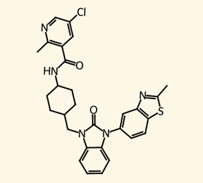 Cc1nc2cc(-n3c(=O)n(CC4CCC(NC(=O)c5cc(Cl)cnc5C)CC4)c4ccccc43)ccc2s1